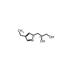 CCc1cnn(C[C@H](O)CO)c1